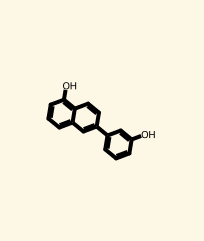 Oc1cccc(-c2ccc3c(O)cccc3c2)c1